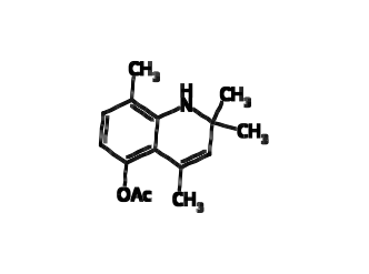 CC(=O)Oc1ccc(C)c2c1C(C)=CC(C)(C)N2